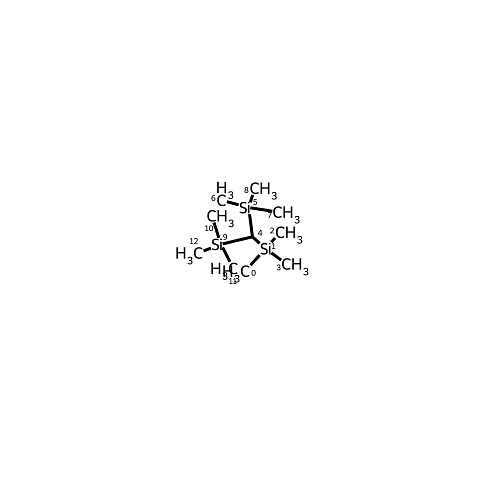 C[Si](C)(C)C([Si](C)(C)C)[Si](C)(C)C